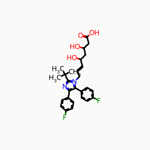 CC(C)(C)c1nc(-c2ccc(F)cc2)c(-c2ccc(F)cc2)n1C/C=C/C(O)CC(O)CC(=O)O